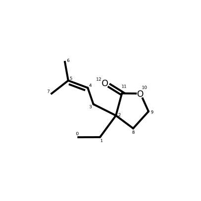 CCC1(CC=C(C)C)CCOC1=O